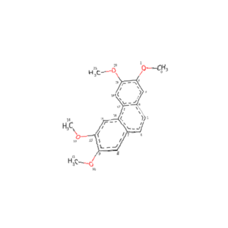 COc1cc2[c]cc3cc(OC)c(OC)cc3c2cc1OC